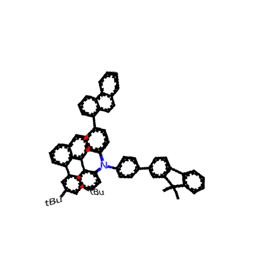 CC(C)(C)c1cc(-c2cccc3cccc(-c4ccccc4N(c4ccc(-c5ccc6c(c5)C(C)(C)c5ccccc5-6)cc4)c4ccc(-c5cccc6c5ccc5ccccc56)cc4)c23)cc(C(C)(C)C)c1